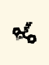 COC(Cc1ccccc1)C1=[C]([Ti+2])CC=C1.[Cl-].[Cl-]